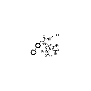 CCC(=O)OC(OP(=O)(CNC(Cc1ccc(-c2ccccc2)cc1)C(=O)NCCC(=O)O)O[C@H](OC(=O)CC)C(C)C)C(C)C